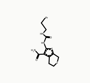 CC(C)CCNC(=O)Nc1sc2c(c1C(N)=O)CCSC2